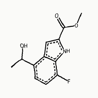 COC(=O)c1cc2c(C(C)O)ccc(F)c2[nH]1